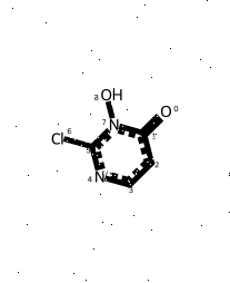 O=c1ccnc(Cl)n1O